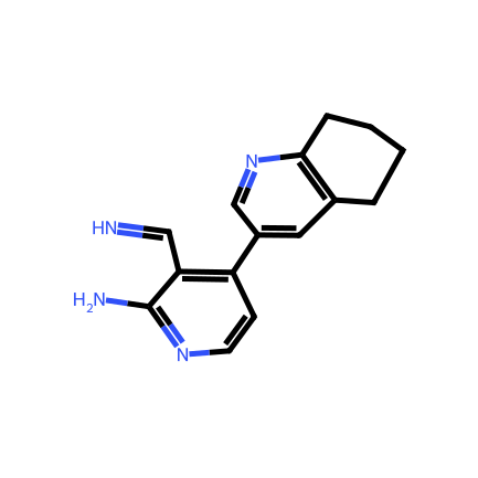 N=Cc1c(-c2cnc3c(c2)CCCC3)ccnc1N